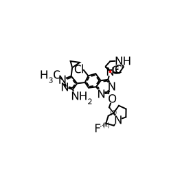 Cn1nc(N)c(-c2cc3nc(OC[C@@]45CCCN4C[C@H](F)C5)nc(N4CC5CCCC4CN5)c3cc2Cl)c1C1CC1